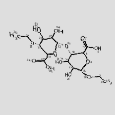 CCO[C@@H]1OC(C(=O)O)[C@@H](O[C@@H]2OC(C(=O)O)[C@H](OCC)C(O)C2O)C(O)C1O